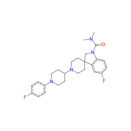 CN(C)C(=O)N1CC2(CCN(C3CCN(c4ccc(F)cc4)CC3)CC2)c2cc(F)ccc21